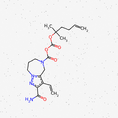 C=CCCC(C)(C)OC(=O)OC(=O)N1CCCn2nc(C(N)=O)c(C=C)c2C1